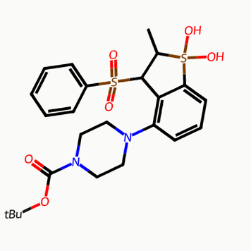 CC1C(S(=O)(=O)c2ccccc2)c2c(N3CCN(C(=O)OC(C)(C)C)CC3)cccc2S1(O)O